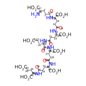 N[C@@H](CCC(=O)N[C@@H](CCC(=O)N[C@@H](CCC(=O)N[C@@H](CCC(=O)O)C(=O)N[C@@H](CCC(=O)N[C@@H](CCC(=O)N[C@@H](CCC(=O)O)C(=O)O)C(=O)O)C(=O)O)C(=O)O)C(=O)O)C(=O)O